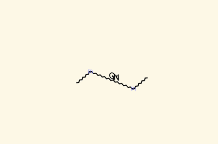 CCCCCCCC/C=C\CCCCCCCCCC(CCCCCCCC/C=C\CCCCCCCC)C(=O)N(C)C